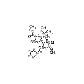 CCOC(=O)c1cn(C(C)C(C)CO)c(-c2cc(Cl)c(OC)cc2OCc2ccccc2)cc1=O